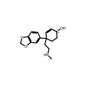 CNCCC1(c2ccc3c(c2)OCO3)C=C[C@@H](O)CC1